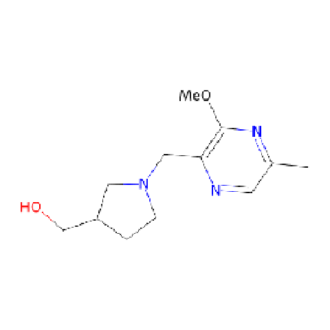 COc1nc(C)cnc1CN1CCC(CO)C1